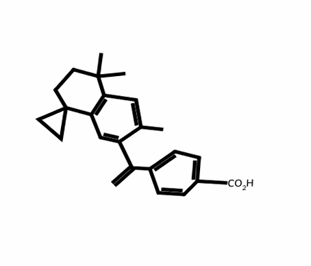 C=C(c1ccc(C(=O)O)cc1)c1cc2c(cc1C)C(C)(C)CCC21CC1